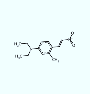 CCN(CC)c1ccc(C=C[N+](=O)[O-])c(C)c1